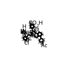 CC(=O)N1CCC(c2cccc3c2CCN(C(=O)/C=C/c2c(N4C=NNN4)ccc(Cl)c2F)C3C(=O)Nc2ccc(C(=O)O)cc2)CC1